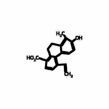 C=Cc1ccc(C(=O)O)c2c1-c1ccc(O)c(C)c1CC2